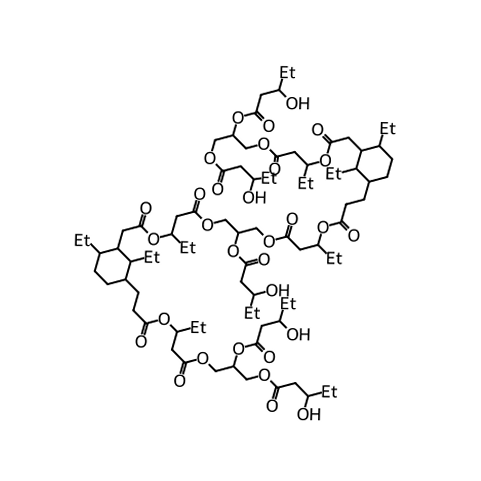 CCC(O)CC(=O)OCC(COC(=O)CC(CC)OC(=O)CCC1CCC(CC)C(CC(=O)OC(CC)CC(=O)OCC(COC(=O)CC(CC)OC(=O)CCC2CCC(CC)C(CC(=O)OC(CC)CC(=O)OCC(COC(=O)CC(O)CC)OC(=O)CC(O)CC)C2CC)OC(=O)CC(O)CC)C1CC)OC(=O)CC(O)CC